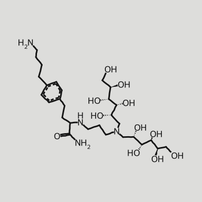 NCCCCc1ccc(CCC(NCCCN(C[C@H](O)[C@@H](O)[C@H](O)[C@H](O)CO)C[C@H](O)[C@@H](O)[C@H](O)[C@H](O)CO)C(N)=O)cc1